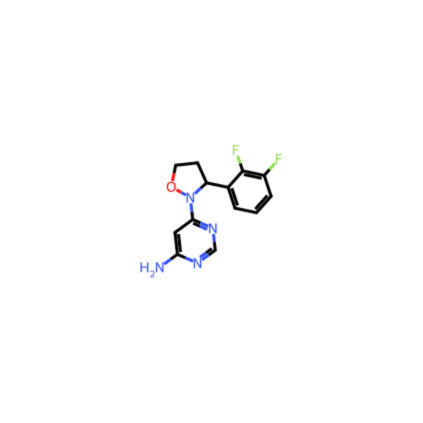 Nc1cc(N2OCCC2c2cccc(F)c2F)ncn1